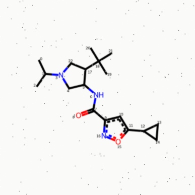 CC(C)N1CC(NC(=O)c2cc(C3CC3)on2)C(C(C)(C)C)C1